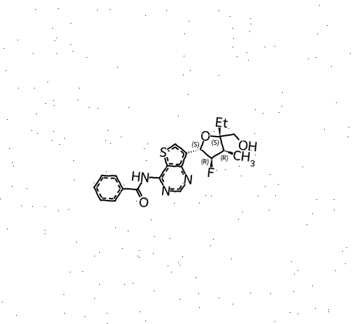 CC[C@]1(CO)O[C@@H](c2csc3c(NC(=O)c4ccccc4)ncnc23)[C@H](F)[C@@H]1C